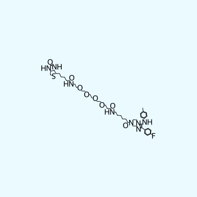 Cc1ccc(Nc2c(-c3ccc(F)cc3)nc3n2CCN(C(=O)CCCCCNC(=O)CCOCCOCCOCCOCCNC(=O)CCCCC2SCC4NC(=O)NC42)C3)cc1